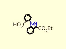 CCOC(=O)c1nn(-c2ccccc2C(=O)O)c2ccccc12